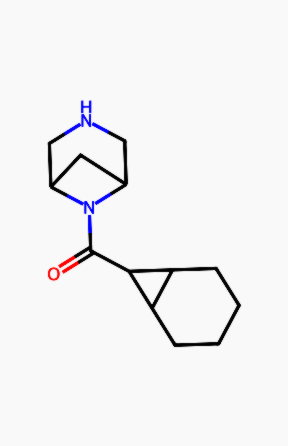 O=C(C1C2CCCCC21)N1C2CNCC1C2